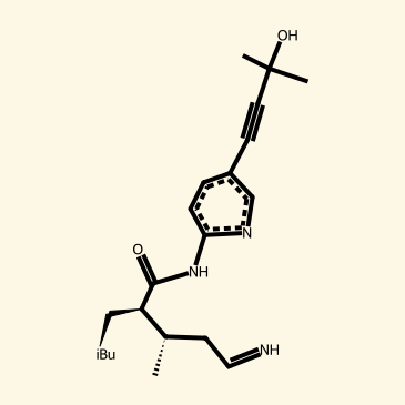 CC[C@H](C)C[C@@H](C(=O)Nc1ccc(C#CC(C)(C)O)cn1)[C@@H](C)CC=N